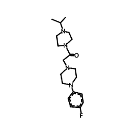 CC(C)N1CCN(C(=O)CN2CCN(c3ccc(F)cc3)CC2)CC1